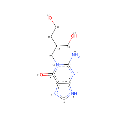 Nc1nc2[nH]cnc2c(=O)n1CC(CO)CCO